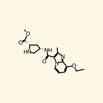 CCOc1cccn2c(C(=O)N[C@@H]3CN[C@H](C(=O)OC)C3)c(C)nc12